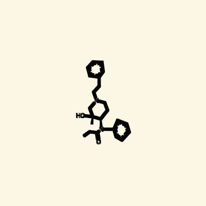 CCC(=O)N(c1ccccc1)[C@@H]1CCN(CCc2ccccc2)C[C@@]1(C)O